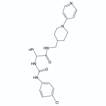 CCCC(NC(=O)Nc1ccc(Cl)cc1)C(=O)NCC1CCN(c2ccncc2)CC1